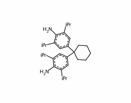 CC(C)c1cc(C2(c3cc(C(C)C)c(N)c(C(C)C)c3)CCCCC2)cc(C(C)C)c1N